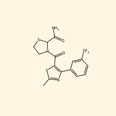 Cc1nc(-c2cccc(C(F)(F)F)c2)c(C(=O)N2CCSC2C(N)=O)s1